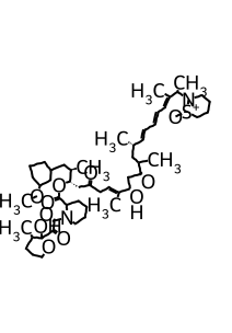 COC1CCCC(C[C@@H](C)[C@H](CC(=O)C/C=C(\C)C(O)CC(=O)C(C)C[C@H](C)/C=C/C=C/C=C(\C)C(C)N2CCCC[S+]2[O-])OC(=O)C2CCCCN2C(=O)C(=O)C2(O)OCCCC2C)C1